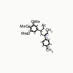 C/C=C(\CC(CC(C)=O)c1cc(OC)c(OC)c(OC)c1)c1ccc(C)cc1